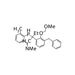 CCC(C)(Pc1c(C)cccc1CNC)c1cccc(Cc2ccccc2)c1OCOC